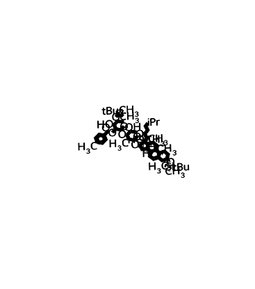 Cc1ccc(C(=O)OC2C(OC3C(O)COC(O[C@H]4C[C@H]5[C@@H]6CC=C7C[C@@H](O[Si](C)(C)C(C)(C)C)CC[C@]7(C)C6CC[C@]5(C)[C@@]4(O)[C@H](C)C(=O)CCC(C)C)C3C)OCC(O[Si](C)(C)C(C)(C)C)C2O)cc1